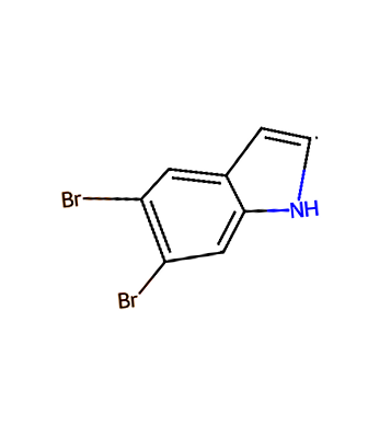 Brc1cc2c[c][nH]c2cc1Br